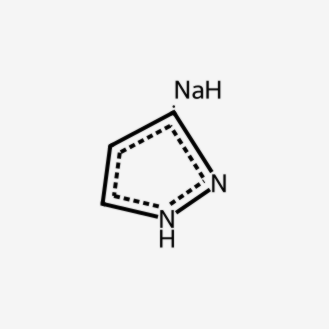 [NaH].[c]1cc[nH]n1